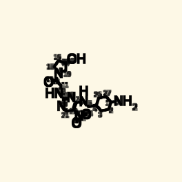 NC1CCC(CNc2nc(NCC(=O)N3CC[C@@H](O)C3)ncc2[N+](=O)[O-])CC1